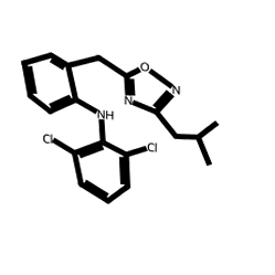 CC(C)Cc1noc(Cc2ccccc2Nc2c(Cl)cccc2Cl)n1